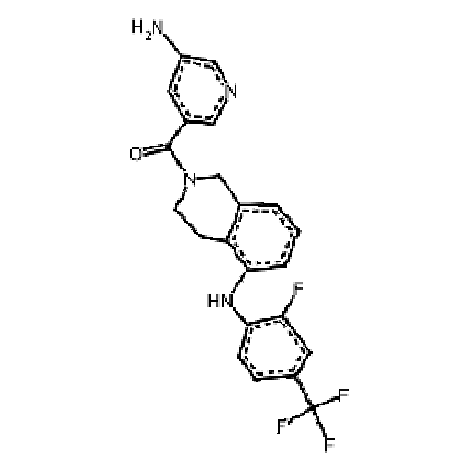 Nc1cncc(C(=O)N2CCc3c(cccc3Nc3ccc(C(F)(F)F)cc3F)C2)c1